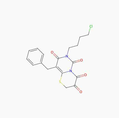 O=C1CSc2c(Cc3ccccc3)c(=O)n(CCCCCl)c(=O)n2C1=O